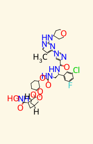 Cc1cnc(NC2CCOCC2)nc1-n1cnc(C(=O)N[C@H](CNC(=O)OC2CCCC3(C2)OO[C@]2(C[C@H]4C[C@@H]2[C@H](C(=O)NO)C4)O3)c2cc(F)cc(Cl)c2)c1